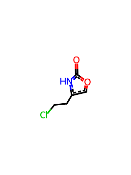 O=c1[nH]c(CCCl)co1